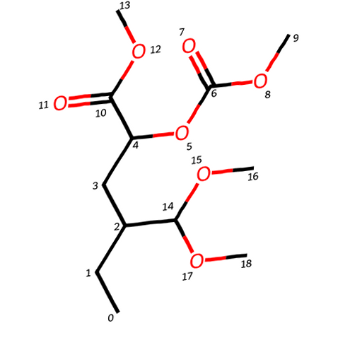 CCC(CC(OC(=O)OC)C(=O)OC)C(OC)OC